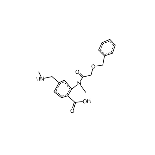 CNCc1ccc(C(=O)O)c(N(C)C(=O)COCc2ccccc2)c1